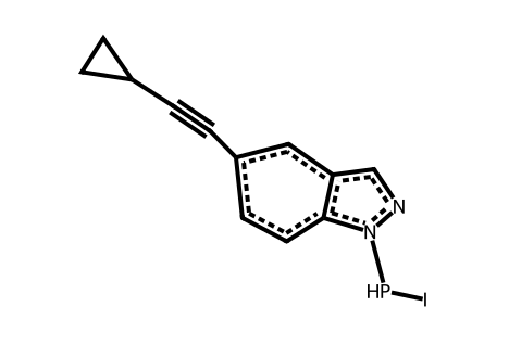 IPn1ncc2cc(C#CC3CC3)ccc21